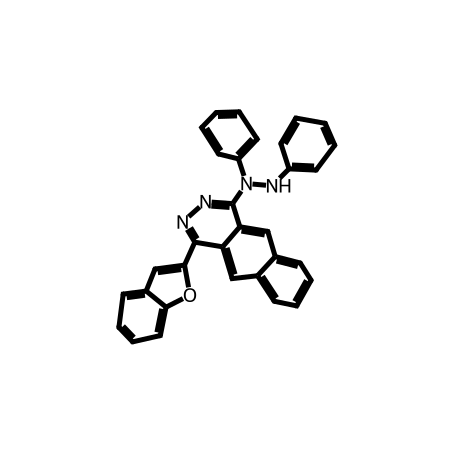 c1ccc(NN(c2ccccc2)c2nnc(-c3cc4ccccc4o3)c3cc4ccccc4cc23)cc1